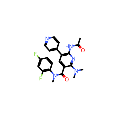 CC(=O)Nc1nc(N(C)C)c(C(=O)N(C)c2ccc(F)cc2F)cc1-c1ccncc1